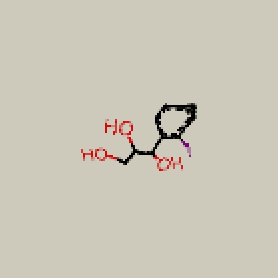 OCC(O)C(O)c1ccccc1I